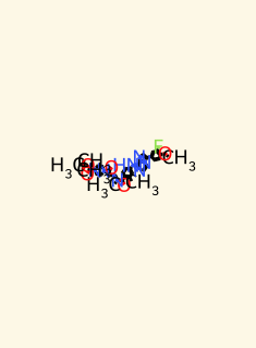 COc1ccc(-c2cnc3c(Nc4ccc(C(=O)N(C)CCC(=O)N5CCN(C(=O)OC(C)(C)C)CC5)c(C)c4)nccn23)cc1F